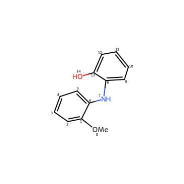 COc1ccccc1Nc1ccccc1O